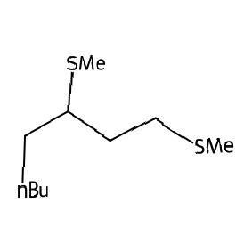 [CH2]CCCCC(CCSC)SC